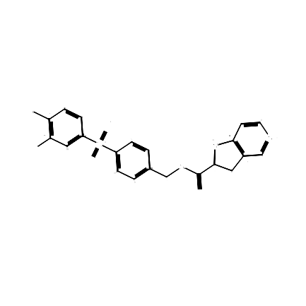 O=C(NCc1ccc(S(=O)(=O)c2ccc(Cl)c(F)c2)cc1)C1Cc2cnccc2N1